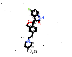 CCOC(=O)C1CCN(CCc2ccc3c(c2)COC3=C2C(=O)Nc3ccc(F)cc32)CC1